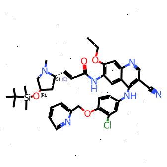 CCOc1cc2ncc(C#N)c(Nc3ccc(OCc4ccccn4)c(Cl)c3)c2cc1NC(=O)/C=C/[C@@H]1C[C@@H](O[Si](C)(C)C(C)(C)C)CN1C